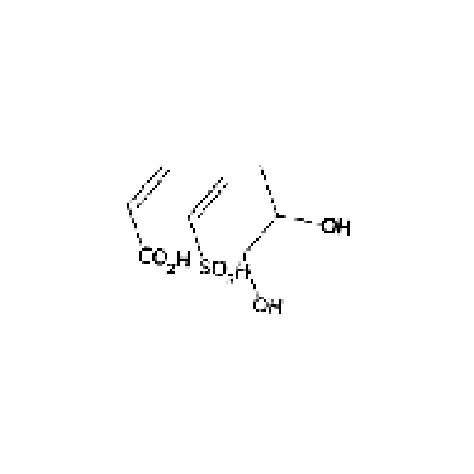 C=CC(=O)O.C=CS(=O)(=O)O.CC(O)CO